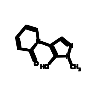 Cn1ncc(-n2ccccc2=O)c1O